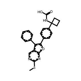 CSc1ncc2c(-c3ccccc3)c(-c3ccc(C4(NC(=O)O)CCC4)cc3)oc2n1